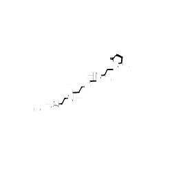 O=CNCCNC(=O)CCOCCNC(=O)CCN1C(=O)C=CC1=O